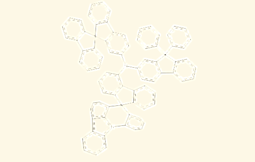 c1ccc(C2(c3ccccc3)c3ccccc3-c3ccc(N(c4ccc5c(c4)C4(c6ccccc6-c6ccccc64)c4ccccc4-5)c4cccc5c4-c4ccccc4C54c5ccccc5-n5c6ccccc6c6cccc4c65)cc32)cc1